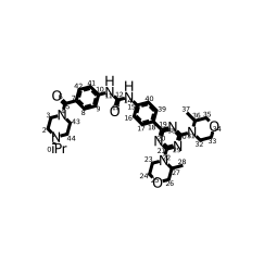 CC(C)N1CCN(C(=O)c2ccc(NC(=O)Nc3ccc(-c4nc(N5CCOCC5C)nc(N5CCOCC5C)n4)cc3)cc2)CC1